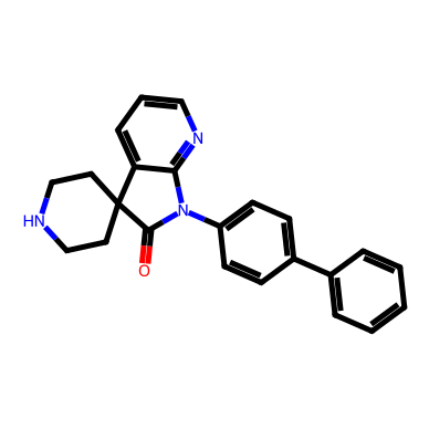 O=C1N(c2ccc(-c3ccccc3)cc2)c2ncccc2C12CCNCC2